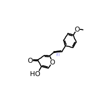 COc1ccc(/C=C/c2cc(=O)c(O)co2)cc1